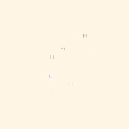 CCC(C)(CC)CC(C)(C)N(C)C